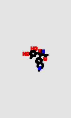 CC(=O)c1noc(-c2cc(C)c(O)cc2O)c1-c1ccc2c(c1)CCN(C)C2